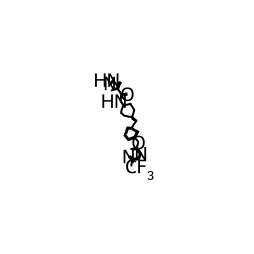 O=C(NC1CCC(=Cc2cccc(Oc3cnc(C(F)(F)F)cn3)c2)CC1)c1cn[nH]c1